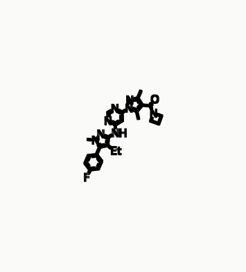 CCc1c(Nc2cc(-n3nc(C)c(C(=O)N4CCC4)c3C)ncn2)nn(C)c1-c1ccc(F)cc1